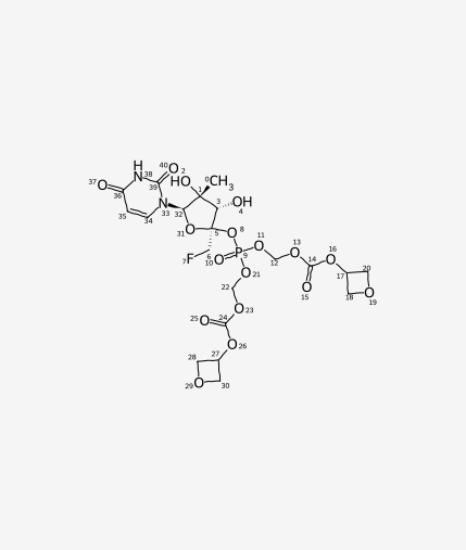 C[C@@]1(O)[C@H](O)[C@@](CF)(OP(=O)(OCOC(=O)OC2COC2)OCOC(=O)OC2COC2)O[C@H]1n1ccc(=O)[nH]c1=O